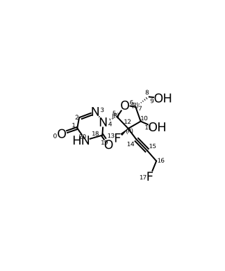 O=c1cnn([C@@H]2O[C@H](CO)C(O)[C@]2(F)C#CCF)c(=O)[nH]1